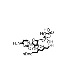 CCCCCCCCCCCCCCCCO.Nc1ccn([C@@H]2O[C@H](COP(=O)(O)OP(=O)(O)O)[C@@H](O)[C@H]2O)c(=O)n1